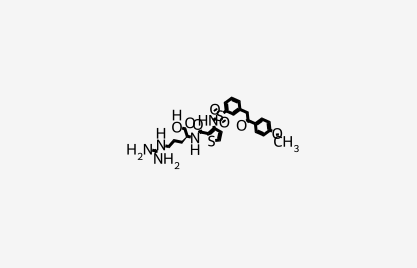 COc1ccc(C(=O)Cc2cccc(S(=O)(=O)Nc3ccsc3C(=O)N[C@@H](CCCNC(N)N)C(=O)O)c2)cc1